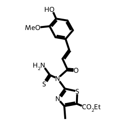 CCOC(=O)c1sc(N(C(=O)C=Cc2ccc(O)c(OC)c2)C(N)=S)nc1C